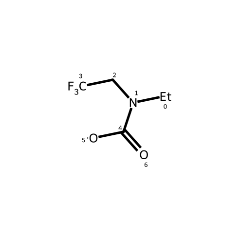 CCN(CC(F)(F)F)C([O])=O